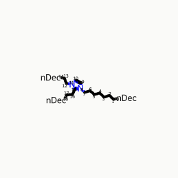 CCCCCCCCCCCCCCCCCn1cc[n+](CCCCCCCCCCCC)c1CCCCCCCCCCCC